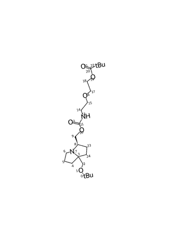 CC(C)(C)OCC12CCCN1[C@@H](COC(=O)NCCOCCOC(=O)C(C)(C)C)CC2